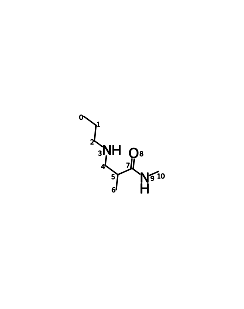 CCCNCC(C)C(=O)NC